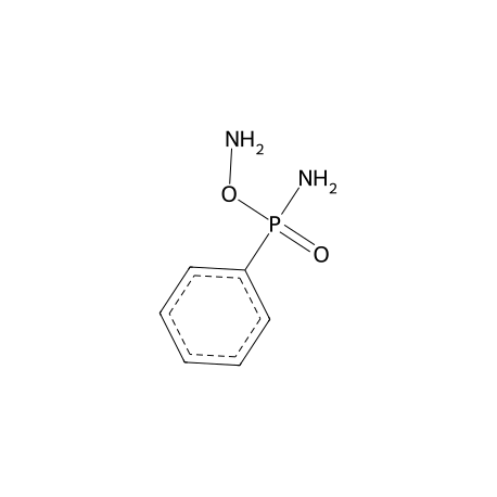 NOP(N)(=O)c1ccccc1